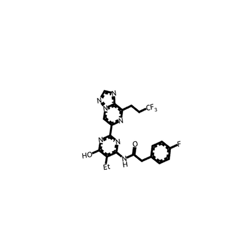 CCc1c(O)nc(-c2cn3ncnc3c(CCC(F)(F)F)n2)nc1NC(=O)Cc1ccc(F)cc1